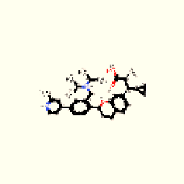 Cc1cc(-c2ccc(C3CCc4ccc([C@H](C5CC5)[C@H](C)C(=O)O)cc4O3)c(CN(C(C)C)C(C)C)c2)ccn1